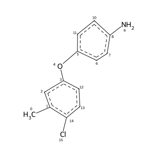 Cc1cc(Oc2ccc(N)cc2)ccc1Cl